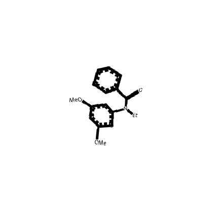 CCN(C(=O)c1ccccc1)c1cc(OC)cc(OC)c1